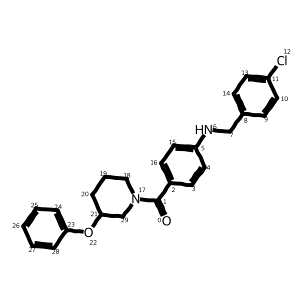 O=C(c1ccc(NCc2ccc(Cl)cc2)cc1)N1CCCC(Oc2ccccc2)C1